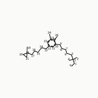 CCC(C)(C)CCCCCc1cc(CCCCCC2(I)CC2)cc(C)c1C